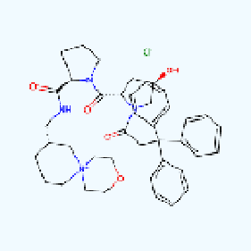 O=C(NC[C@H]1CCC[N+]2(CCOCC2)C1)[C@H]1CCCN1C(=O)[C@@H]1C[C@@H](O)CN1C(=O)CC(c1ccccc1)(c1ccccc1)c1ccccc1.[Cl-]